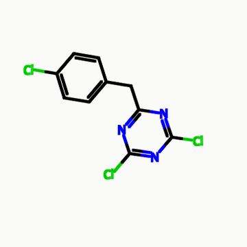 Clc1ccc(Cc2nc(Cl)nc(Cl)n2)cc1